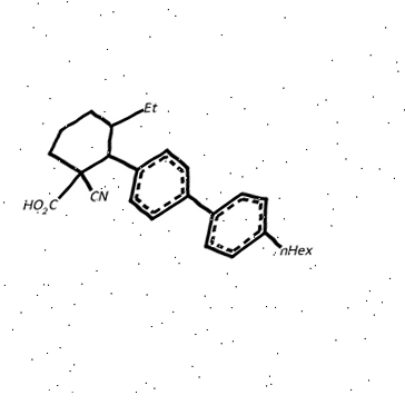 CCCCCCc1ccc(-c2ccc(C3C(CC)CCCC3(C#N)C(=O)O)cc2)cc1